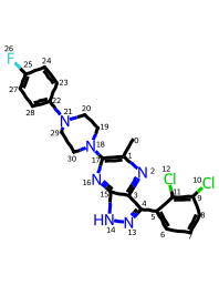 Cc1nc2c(-c3cccc(Cl)c3Cl)n[nH]c2nc1N1CCN(c2ccc(F)cc2)CC1